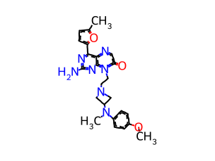 COc1ccc(N(C)C2CN(CCn3c(=O)cnc4c(-c5ccc(C)o5)nc(N)nc43)C2)cc1